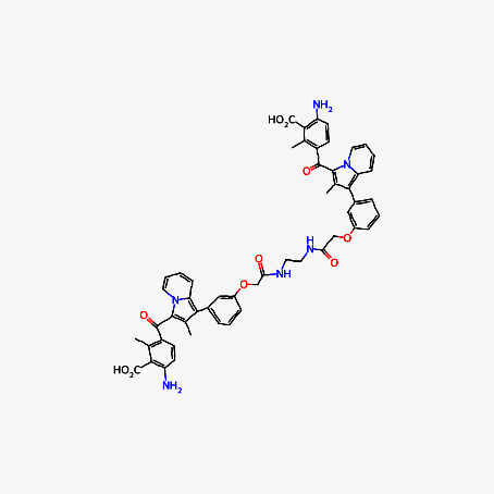 Cc1c(C(=O)c2c(C)c(-c3cccc(OCC(=O)NCCNC(=O)COc4cccc(-c5c(C)c(C(=O)c6ccc(N)c(C(=O)O)c6C)n6ccccc56)c4)c3)c3ccccn23)ccc(N)c1C(=O)O